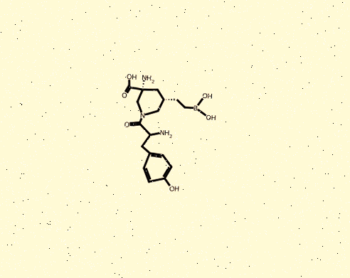 NC(Cc1ccc(O)cc1)C(=O)N1C[C@@H](CCB(O)O)C[C@](N)(C(=O)O)C1